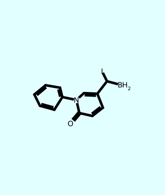 BC(I)c1ccc(=O)n(-c2ccccc2)c1